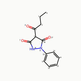 CCCC(=O)C1C(=O)NN(c2ccccc2)C1=O